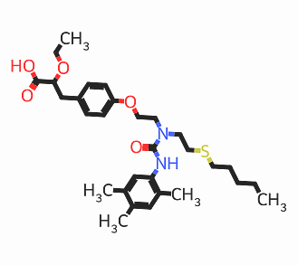 CCCCCSCCN(CCOc1ccc(CC(OCC)C(=O)O)cc1)C(=O)Nc1cc(C)c(C)cc1C